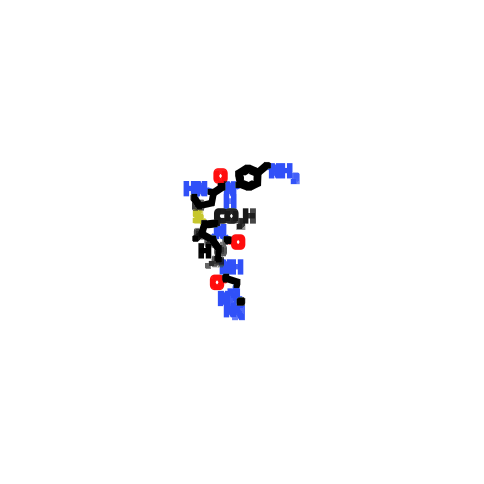 C[C@@H](NC(=O)Cn1cnnn1)[C@H]1C(=O)N2C(C(=O)O)=C(S[C@@H]3CNC(C(=O)Nc4ccc(CN)cc4)C3)[C@H](C)[C@H]12